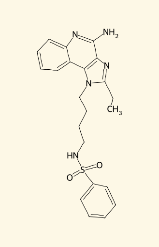 CCc1nc2c(N)nc3ccccc3c2n1CCCCNS(=O)(=O)c1ccccc1